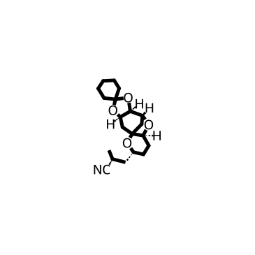 C[C@@H](C#N)C[C@H]1CC[C@@H]2O[C@@H]3CC2(C[C@H]2OC4(CCCCC4)O[C@@H]32)O1